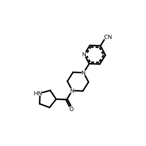 N#Cc1ccc(N2CCN(C(=O)C3CCNC3)CC2)nc1